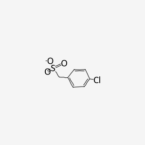 [O]S(=O)(=O)Cc1ccc(Cl)cc1